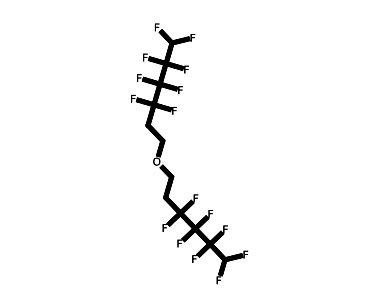 FC(F)C(F)(F)C(F)(F)C(F)(F)CCOCCC(F)(F)C(F)(F)C(F)(F)C(F)F